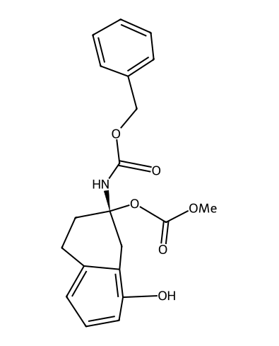 COC(=O)O[C@@]1(NC(=O)OCc2ccccc2)CCc2cccc(O)c2C1